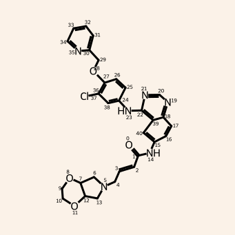 O=C(/C=C/CN1CC2OCCOC2C1)Nc1ccc2ncnc(Nc3ccc(OCc4ccccn4)c(Cl)c3)c2c1